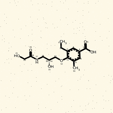 CCc1cc(C(=O)O)cc(C)c1OC[C@H](O)CNC(=O)CO